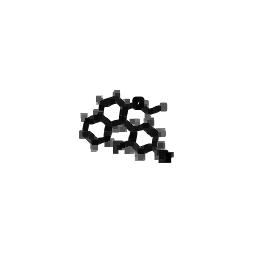 CCOc1ccc2ccccc2c1-c1ccc(Br)cc1F